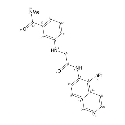 CCCc1c(NC(=O)CNc2cccc(C(=O)NC)c2)ccc2cnccc12